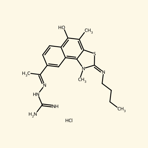 CCCCN=c1sc2c(C)c(O)c3ccc(C(C)=NNC(=N)N)cc3c2n1C.Cl